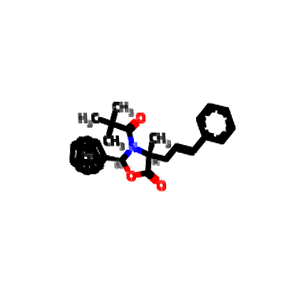 CC(C)(C)C(=O)N1[C@H]([C]23[CH]4[CH]5[CH]6[CH]2[Fe]56432789[CH]3[CH]2[CH]7[CH]8[CH]39)OC(=O)[C@@]1(C)CC=Cc1ccccc1